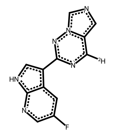 [2H]c1nc(-c2c[nH]c3ncc(F)cc23)nn2cncc12